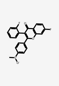 C[S+]([O-])c1ccc(-c2oc3cc(F)ccc3c(=O)c2-c2ccccc2F)cc1